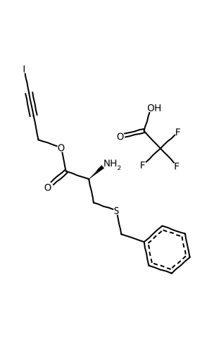 N[C@@H](CSCc1ccccc1)C(=O)OCC#CI.O=C(O)C(F)(F)F